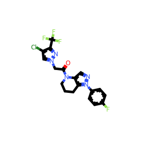 O=C(Cn1cc(Cl)c(C(F)(F)F)n1)N1CCCc2c1cnn2-c1ccc(F)cc1